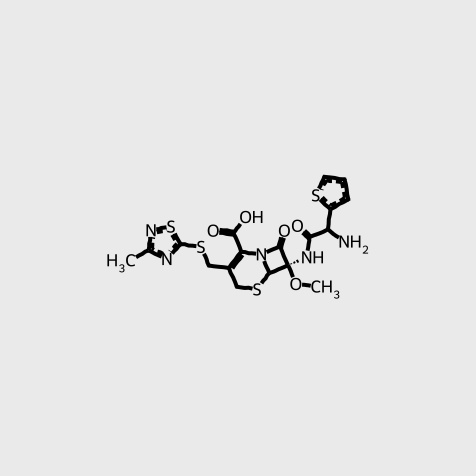 CO[C@]1(NC(=O)C(N)c2cccs2)C(=O)N2C(C(=O)O)=C(CSc3nc(C)ns3)CSC21